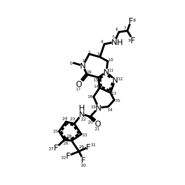 CN1CC(CNCC(F)F)Cn2nc3c(c2C1=O)CN(C(=O)Nc1ccc(F)c(C(F)(F)F)c1)CC3